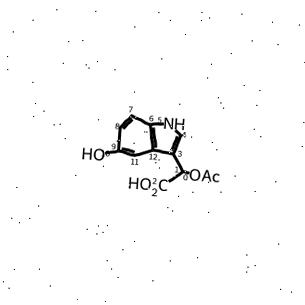 CC(=O)OC(C(=O)O)c1c[nH]c2ccc(O)cc12